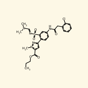 CCCOC(=O)c1cc(-c2ccc(NC(=O)Cc3ccccc3Cl)cc2S(=O)(=O)N=CN(C)C)nn1C